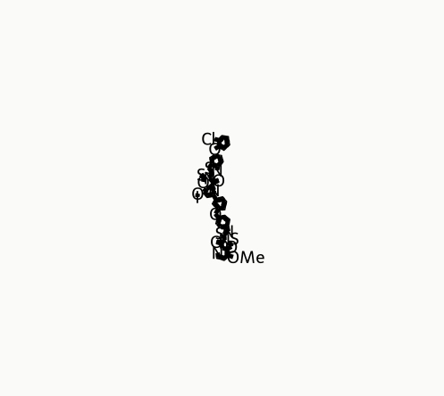 COc1ccnc2c(=O)n(-c3nc4ccc(Oc5cccc(-c6cc(OI)c7oc(=S)n(-c8nc9ccc(Oc%10ccccc%10Cl)cc9s8)c(=O)c7n6)c5)cc4s3)c(=S)oc12